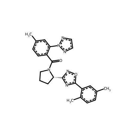 Cc1ccc(C)c(-c2nc([C@@H]3CCCN3C(=O)c3ccc(C)cc3-n3nccn3)no2)c1